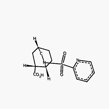 O=C(O)[C@@H]1C[C@@H]2CC[C@H]1N(S(=O)(=O)c1ccccn1)C2